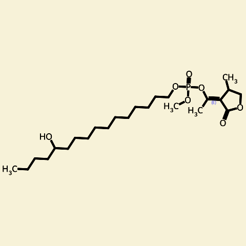 CCCCC(O)CCCCCCCCCCCOP(=O)(OC)O/C(C)=C1/C(=O)OCC1C